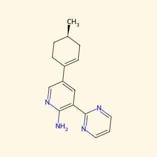 C[C@H]1CC=C(c2cnc(N)c(-c3ncccn3)c2)CC1